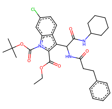 CCOC(=O)c1c(C(NC(=O)CCc2ccccc2)C(=O)NC2CCCCC2)c2ccc(Cl)cc2n1C(=O)OC(C)(C)C